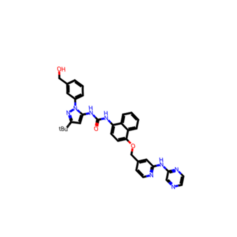 CC(C)(C)c1cc(NC(=O)Nc2ccc(OCc3ccnc(Nc4cnccn4)c3)c3ccccc23)n(-c2cccc(CO)c2)n1